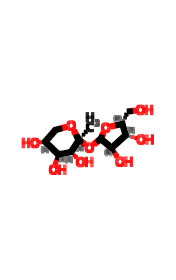 C[C@@]1(OC2O[C@H](CO)[C@H](O)[C@H]2O)OC[C@@H](O)[C@H](O)[C@H]1O